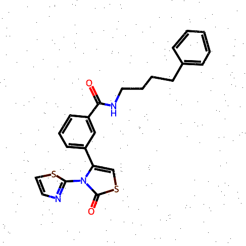 O=C(NCCCCc1ccccc1)c1cccc(-c2csc(=O)n2-c2nccs2)c1